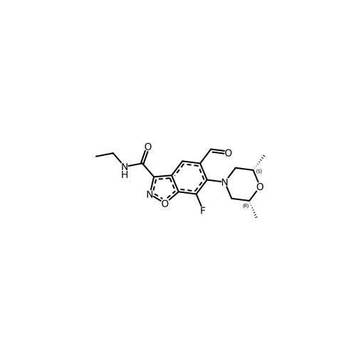 CCNC(=O)c1noc2c(F)c(N3C[C@@H](C)O[C@@H](C)C3)c(C=O)cc12